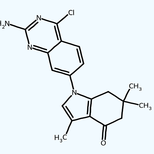 Cc1cn(-c2ccc3c(Cl)nc(N)nc3c2)c2c1C(=O)CC(C)(C)C2